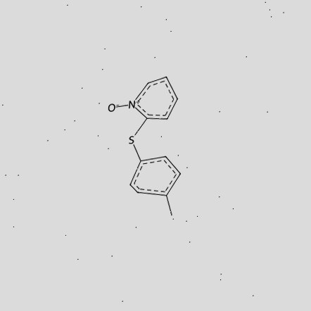 Cc1ccc(Sc2cccc[n+]2[O-])cc1